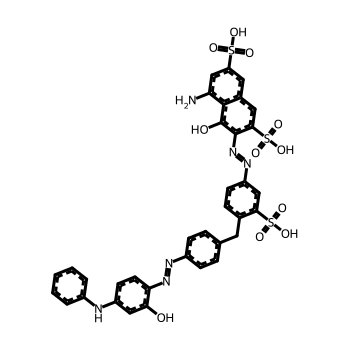 Nc1cc(S(=O)(=O)O)cc2cc(S(=O)(=O)O)c(/N=N/c3ccc(Cc4ccc(/N=N/c5ccc(Nc6ccccc6)cc5O)cc4)c(S(=O)(=O)O)c3)c(O)c12